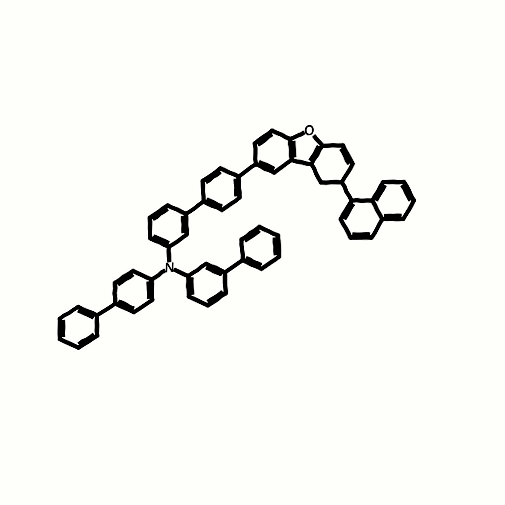 C1=CC(c2cccc3ccccc23)Cc2c1oc1ccc(-c3ccc(-c4cccc(N(c5ccc(-c6ccccc6)cc5)c5cccc(-c6ccccc6)c5)c4)cc3)cc21